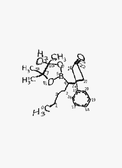 CCCCC(B1OC(C)(C)C(C)(C)O1)C1(c2ccccc2)CC(=O)C1